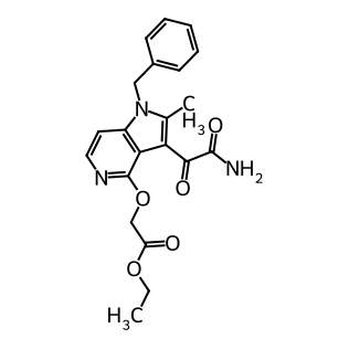 CCOC(=O)COc1nccc2c1c(C(=O)C(N)=O)c(C)n2Cc1ccccc1